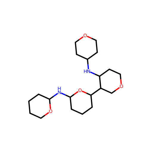 C1CCC(NC2CCCC(C3COCCC3NC3CCOCC3)O2)OC1